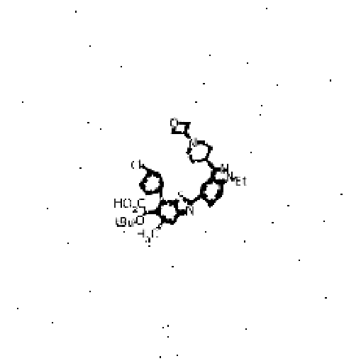 CCn1nc(C2CCN(C3COC3)CC2)c2cc(-c3nc4cc(C)c([C@H](OC(C)(C)C)C(=O)O)c(-c5ccc(Cl)cc5)c4s3)ccc21